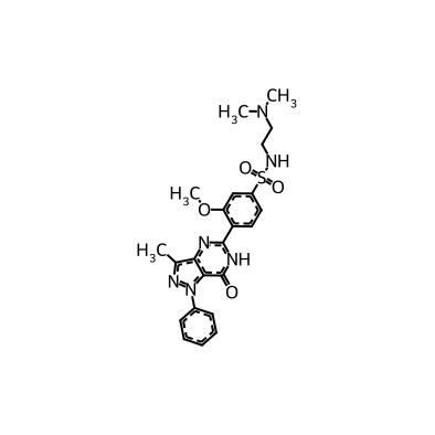 COc1cc(S(=O)(=O)NCCN(C)C)ccc1-c1nc2c(C)nn(-c3ccccc3)c2c(=O)[nH]1